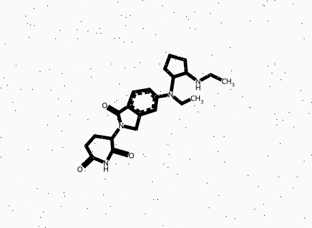 CCNC1CCCC1N(CC)c1ccc2c(c1)CN(C1CCC(=O)NC1=O)C2=O